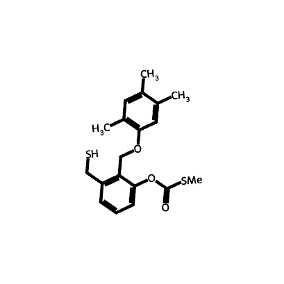 CSC(=O)Oc1cccc(CS)c1COc1cc(C)c(C)cc1C